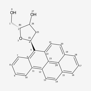 OC[C@H]1O[C@H](c2c3ccccc3c3ccc4cccc5ccc2c3c54)CC1O